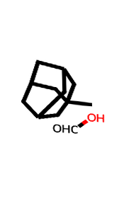 CC12CC3CC(CC(C3)C1)C2.O=CO